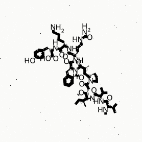 CC[C@H](C)[C@@H]([C@@H](CC(=O)N1CCC[C@H]1[C@H](OC)[C@@H](C)C(=O)N[C@@H](Cc1ccccc1)C(=O)N[C@@H](CCCNC(N)=O)C(=O)N[C@@H](CCCCN)C(=O)N[C@@H](Cc1ccc(O)cc1)C(=O)O)OC)N(C)C(=O)[C@@H](NC(=O)[C@@H](NC)C(C)C)C(C)C